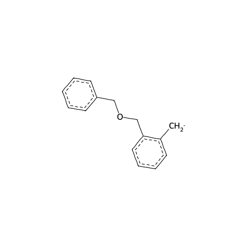 [CH2]c1ccccc1COCc1ccccc1